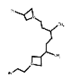 CC(C)CCN1CC(C(C)CCC(C)CCN2CC(C(C)C)C2)C1